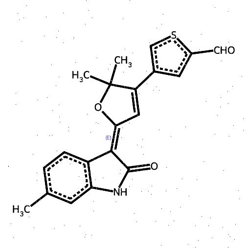 Cc1ccc2c(c1)NC(=O)/C2=C1\C=C(c2csc(C=O)c2)C(C)(C)O1